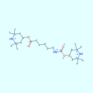 CC1(C)CC(OC(=O)CCCCCNC(=O)OC2CC(C)(C)NC(C)(C)C2)CC(C)(C)N1